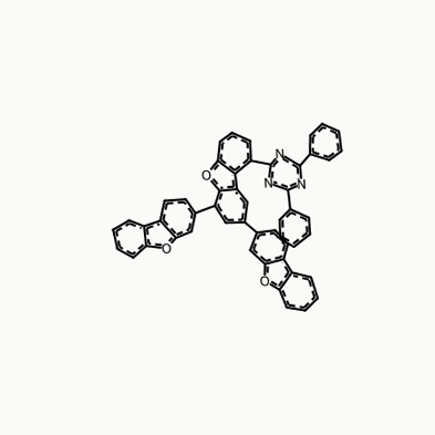 c1ccc(-c2nc(-c3ccccc3)nc(-c3cccc4oc5c(-c6ccc7c(c6)oc6ccccc67)cc(-c6ccc7c(c6)oc6ccccc67)cc5c34)n2)cc1